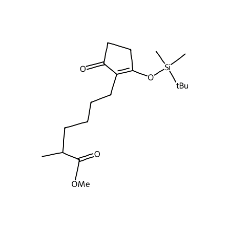 COC(=O)C(C)CCCCC1=C(O[Si](C)(C)C(C)(C)C)CCC1=O